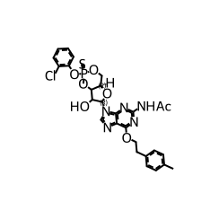 CC(=O)Nc1nc(OCCc2ccc(C)cc2)c2ncn([C@@H]3O[C@@H]4COP(=S)(Oc5ccccc5Cl)OC4C3O)c2n1